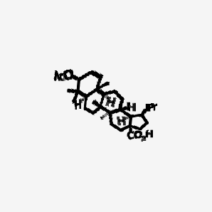 CC(=O)O[C@H]1CC[C@]2(C)[C@H]3CC[C@@H]4[C@H]5C(C(C)C)CC[C@]5(C(=O)O)CC[C@@]4(C)[C@]3(C)CC[C@H]2C1(C)C